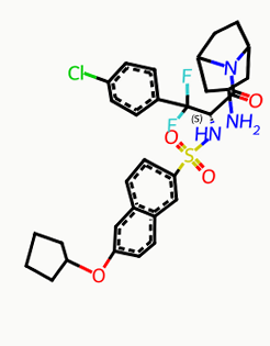 NC1CC2CCC(C1)N2C(=O)[C@H](NS(=O)(=O)c1ccc2cc(OC3CCCC3)ccc2c1)C(F)(F)c1ccc(Cl)cc1